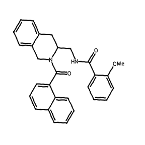 COc1ccccc1C(=O)NCC1Cc2ccccc2CN1C(=O)c1cccc2ccccc12